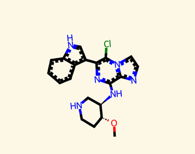 CO[C@@H]1CCNC[C@H]1Nc1nc(-c2c[nH]c3ccccc23)c(Cl)n2ccnc12